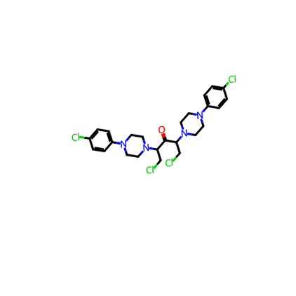 O=C(C(CCl)N1CCN(c2ccc(Cl)cc2)CC1)C(CCl)N1CCN(c2ccc(Cl)cc2)CC1